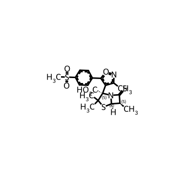 Cc1noc(-c2ccc(S(C)(=O)=O)cc2)c1[C@@]1(C(=O)O)N2C(=S)[C@@H](C)[C@H]2SC1(C)C